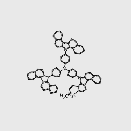 C=C/C=C\c1c(C)ccc2c3c4ccccc4ccc3n(-c3ccc(N(c4ccc(C5c6ccc7ccccc7c6-c6ccc7ccccc7c65)cc4)c4ccc(-n5c6ccc7ccccc7c6c6ccc7ccccc7c65)cc4)cc3)c12